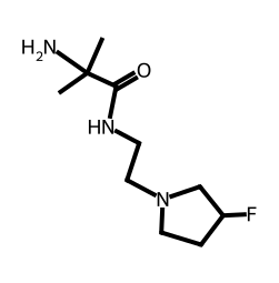 CC(C)(N)C(=O)NCCN1CCC(F)C1